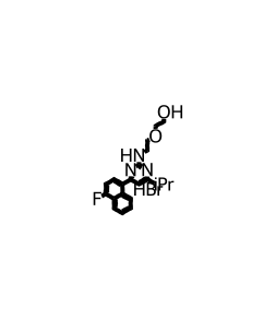 Br.CC(C)c1cc(-c2ccc(F)c3ccccc23)nc(NCCOCCO)n1